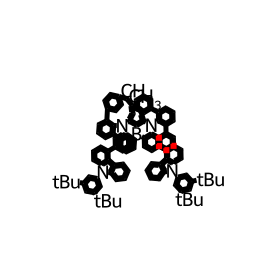 CC(C)(C)c1cc(-n2c3ccccc3c3c(-c4ccc5c(c4)N(c4c(-c6ccccc6)cccc4-c4ccccc4)c4cc6cc7c4B5c4ccc(-c5cccc8c5c5ccccc5n8-c5cc(C(C)(C)C)cc(C(C)(C)C)c5)cc4N7c4c(-c5ccccc5)cccc4-c4ccc(cc4)C6(C)C)cccc32)cc(C(C)(C)C)c1